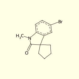 CN1C(=O)C2(CCCC2)c2cc(Br)ccc21